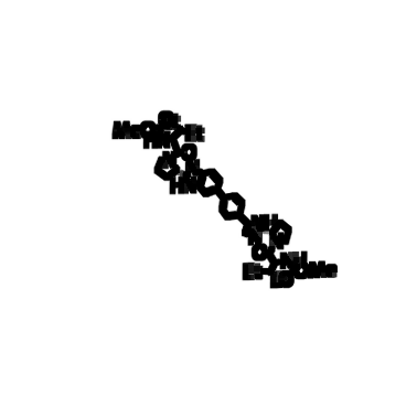 CCC(CC)[C@H](NC(=O)OC)C(=O)N1CCC[C@H]1c1ncc(-c2ccc(-c3ccc4nc([C@@H]5CCCN5C(=O)[C@@H](NC(=O)OC)C(CC)CC)[nH]c4c3)cc2)[nH]1